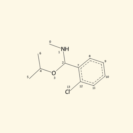 CNC(OC(C)C)c1ccccc1Cl